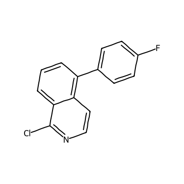 Fc1ccc(-c2cccc3c(Cl)nccc23)cc1